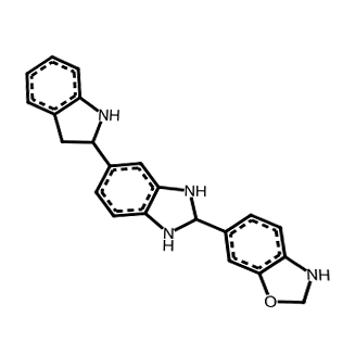 c1ccc2c(c1)CC(c1ccc3c(c1)NC(c1ccc4c(c1)OCN4)N3)N2